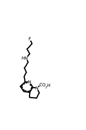 O=C(O)N1CCCc2ccc(CCCCNCCCF)nc21